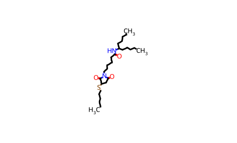 CCCCCCSC1CC(=O)N(CCCCCC(=O)NC(CCCCC)CCCCC)C1=O